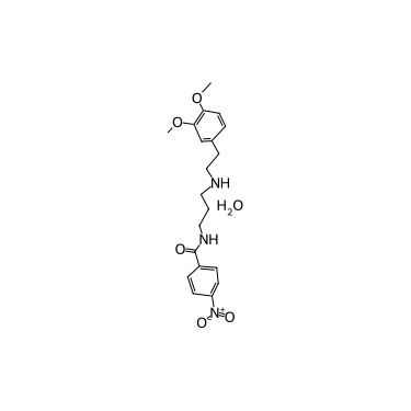 COc1ccc(CCNCCCNC(=O)c2ccc([N+](=O)[O-])cc2)cc1OC.O